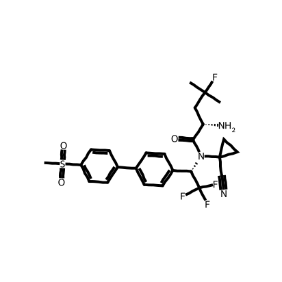 CC(C)(F)C[C@H](N)C(=O)N([C@@H](c1ccc(-c2ccc(S(C)(=O)=O)cc2)cc1)C(F)(F)F)C1(C#N)CC1